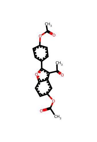 CC(=O)Oc1ccc(-c2oc3ccc(OC(C)=O)cc3c2C(C)=O)cc1